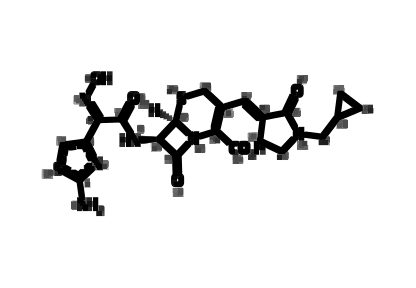 Nc1nc(/C(=N/O)C(=O)N[C@@H]2C(=O)N3C(C(=O)O)=C(C=C4CCN(CC5CC5)C4=O)CS[C@H]23)cs1